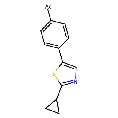 CC(=O)c1ccc(-c2cnc(C3CC3)s2)cc1